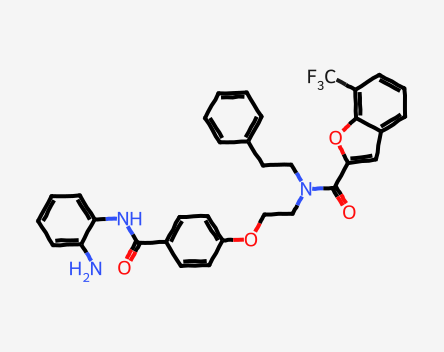 Nc1ccccc1NC(=O)c1ccc(OCCN(CCc2ccccc2)C(=O)c2cc3cccc(C(F)(F)F)c3o2)cc1